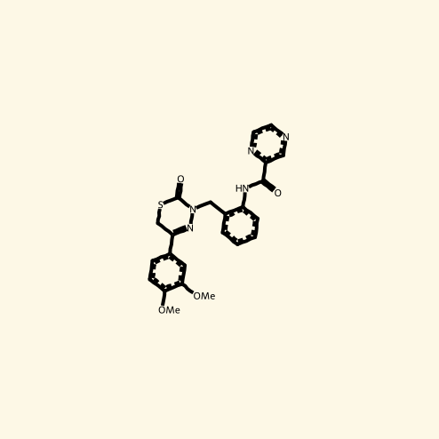 COc1ccc(C2=NN(Cc3ccccc3NC(=O)c3cnccn3)C(=O)SC2)cc1OC